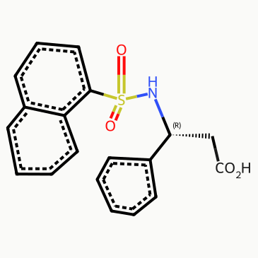 O=C(O)C[C@@H](NS(=O)(=O)c1cccc2ccccc12)c1ccccc1